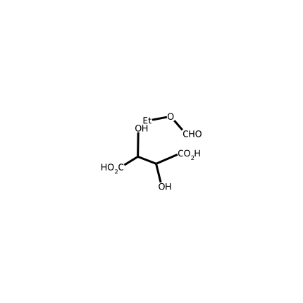 CCOC=O.O=C(O)C(O)C(O)C(=O)O